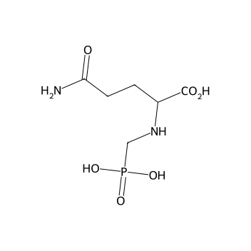 NC(=O)CCC(NCP(=O)(O)O)C(=O)O